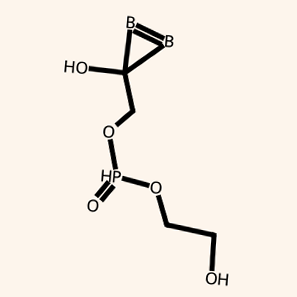 O=[PH](OCCO)OCC1(O)B=B1